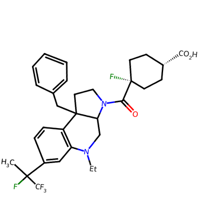 CCN1CC2N(C(=O)[C@]3(F)CC[C@@H](C(=O)O)CC3)CCC2(Cc2ccccc2)c2ccc(C(C)(F)C(F)(F)F)cc21